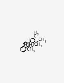 CC[C@@H]1[C@@H](C)C[C@H]2[C@@H]3C=CC4=CCC=C[C@]4(C)[C@H]3CC[C@]12C